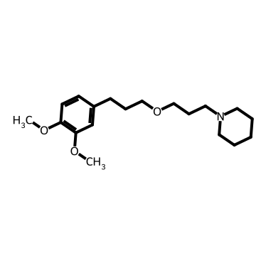 COc1ccc(CCCOCCCN2CCCCC2)cc1OC